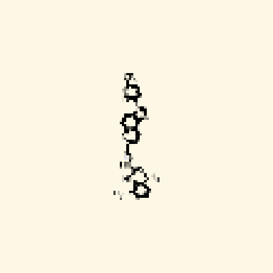 Cc1cccc(C)c1NC(=S)N/N=C/c1ccc2c(ccc3c2ncn3-c2ccc(C(F)(F)F)nn2)n1